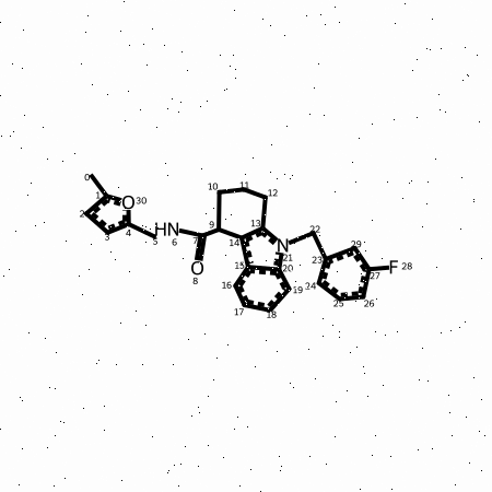 Cc1ccc(CNC(=O)C2CCCc3c2c2ccccc2n3Cc2cccc(F)c2)o1